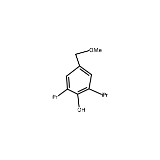 COCc1cc(C(C)C)c(O)c(C(C)C)c1